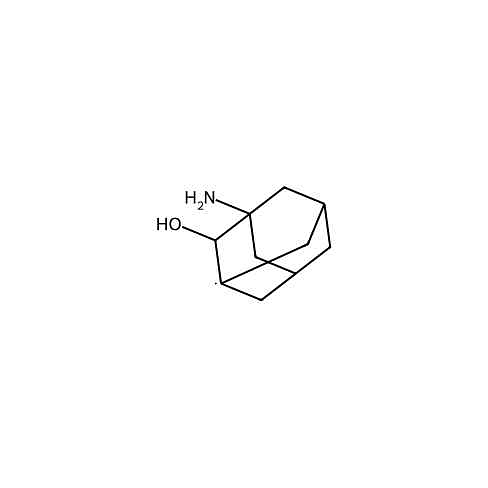 NC12CC3C[C](CC(C3)C1)C2O